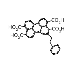 O=C(O)c1ccc2c3ccc(C(=O)O)c4c(C(=O)O)c(CCc5ccccc5)cc(c5ccc(C(=O)O)c1c25)c43